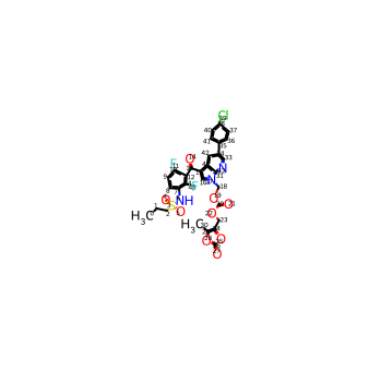 CCCS(=O)(=O)Nc1ccc(F)c(C(=O)c2cn(COC(=O)OCc3oc(=O)oc3C)c3ncc(-c4ccc(Cl)cc4)cc23)c1F